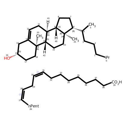 CC(C)CCCC(C)[C@H]1CC[C@H]2[C@@H]3CC=C4C[C@@H](O)CC[C@]4(C)[C@H]3CC[C@]12C.CCCCC/C=C\C/C=C\CCCCCCCC(=O)O